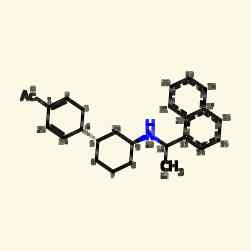 CC(=O)C1=CCC([C@H]2CCC[C@H](NC(C)c3cccc4ccccc34)C2)C=C1